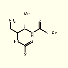 NCC(NNC(=S)[S-])NC(=S)[S-].[Mn].[Zn+2]